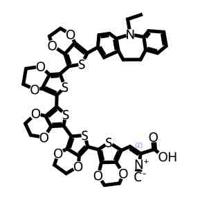 [C-]#[N+]/C(=C\c1sc(-c2sc(-c3sc(-c4sc(-c5sc(-c6ccc7c(c6)CCc6ccccc6N7CC)c6c5OCCO6)c5c4OCCO5)c4c3OCCO4)c3c2OCCO3)c2c1OCCO2)C(=O)O